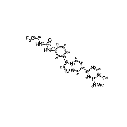 CNc1nc(-c2ccn3c(-c4cccc(NC(=O)NCC(F)(F)F)c4)cnc3c2)ncc1F